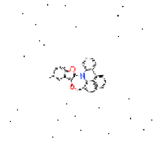 Cc1ccc2oc3c(c2c1)OCc1ccccc1N3c1ccccc1-c1ccccc1